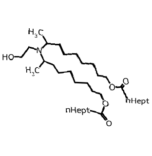 CCCCCCCC(=O)OCCCCCCCC(C)N(CCO)C(C)CCCCCCCOC(=O)CCCCCCC